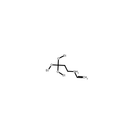 C=C[SiH2]CCC(OCC)(OCC)OCC